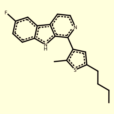 CCCCc1cc(-c2nccc3c2[nH]c2ccc(F)cc23)c(C)s1